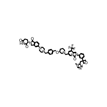 Cn1cnnc1CC1(c2cccc(-n3cc4c(C(F)(F)F)cc(CN5CCC[C@H](OCc6ccc(CN7CCN(c8ccc9c(c8)CN([C@H]8CCC(=O)NC8=O)C9=O)CC7)cc6)C5)cn4c3=O)c2)COC1